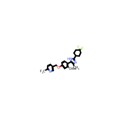 COc1cc(OCc2ccc(C(F)(F)F)nc2)ccc1-c1[nH]c(C2CCC(F)(F)CC2)nc1C